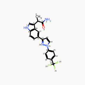 CC(C(N)=O)c1c[nH]c2ccc(-c3ccn(-c4ccc(C(F)(F)F)cc4)n3)cc12